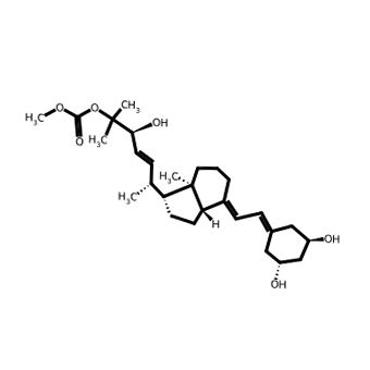 COC(=O)OC(C)(C)[C@@H](O)/C=C/[C@@H](C)[C@H]1CC[C@H]2/C(=C/C=C3C[C@@H](O)C[C@H](O)C3)CCC[C@]12C